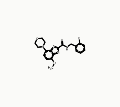 COc1ccc(N2CCOCC2)c2sc(C(=O)NCc3ccccc3F)nc12